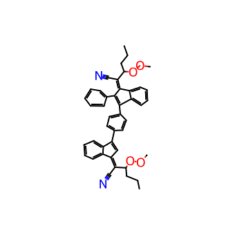 CCCC(OOC)/C(C#N)=C1\C=C(c2ccc(C3=C(c4ccccc4)/C(=C(\C#N)C(CCC)OOC)c4ccccc43)cc2)c2ccccc21